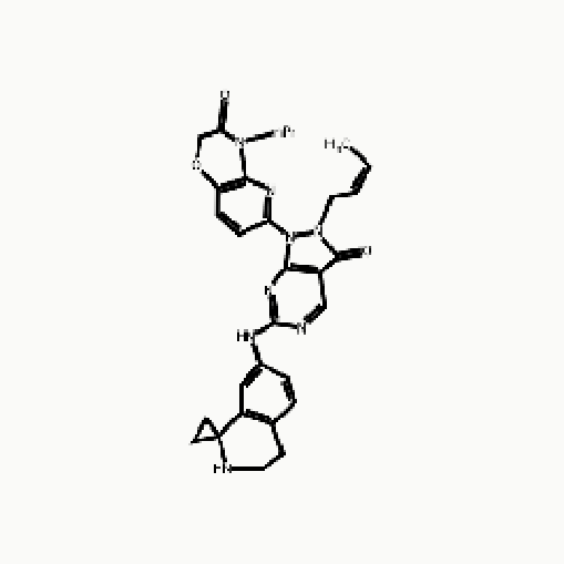 C/C=C\Cn1c(=O)c2cnc(Nc3ccc4c(c3)C3(CC3)NCC4)nc2n1-c1ccc2c(n1)N(CCC)C(=O)CO2